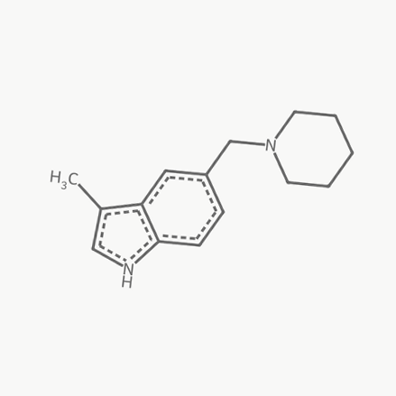 Cc1c[nH]c2ccc(CN3CCCCC3)cc12